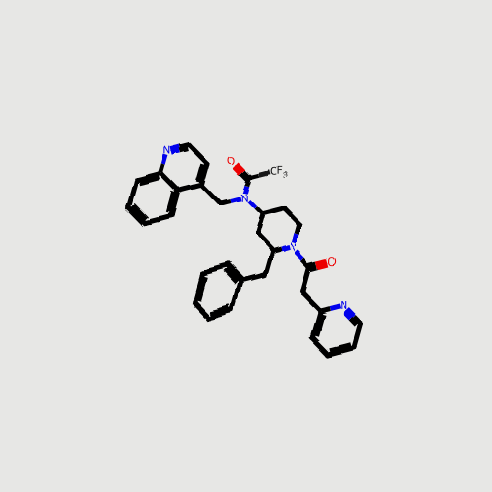 O=C(Cc1ccccn1)N1CCC(N(Cc2ccnc3ccccc23)C(=O)C(F)(F)F)CC1Cc1ccccc1